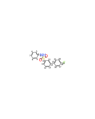 O=S(=O)(Nc1ccccc1)c1cccc(-c2ccc(F)cc2)c1